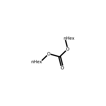 CCCCCCOC(=O)OCCCCCC